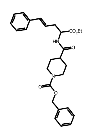 CCOC(=O)C(CC=Cc1ccccc1)NC(=O)C1CCN(C(=O)OCc2ccccc2)CC1